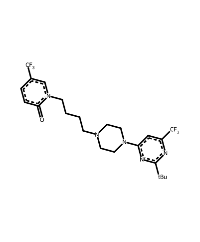 CC(C)(C)c1nc(N2CCN(CCCCn3cc(C(F)(F)F)ccc3=O)CC2)cc(C(F)(F)F)n1